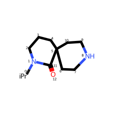 CC(C)N1CCCC2(CCNCC2)C1=O